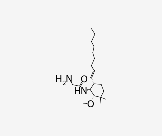 CCCCCCC/C=C/[C@@H]1CCC(C)(C)[C@H](OC)[C@H]1NC(=O)CN